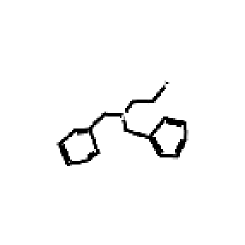 FCCN(Cc1ccccc1)Cc1ccccc1